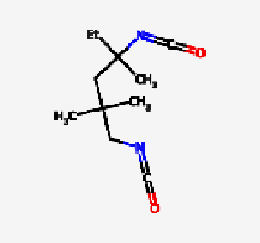 CCC(C)(CC(C)(C)CN=C=O)N=C=O